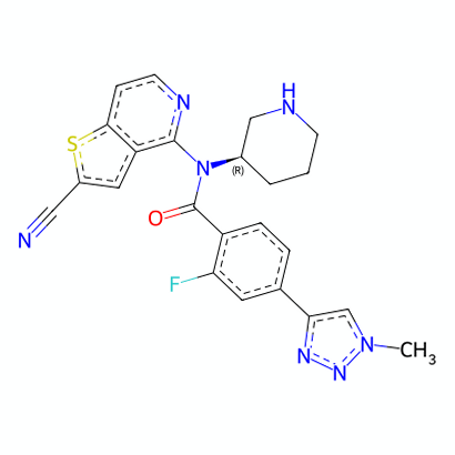 Cn1cc(-c2ccc(C(=O)N(c3nccc4sc(C#N)cc34)[C@@H]3CCCNC3)c(F)c2)nn1